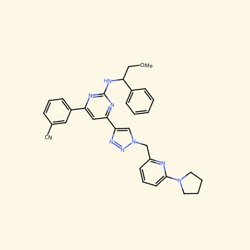 COCC(Nc1nc(-c2cccc(C#N)c2)cc(-c2cn(Cc3cccc(N4CCCC4)n3)nn2)n1)c1ccccc1